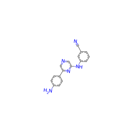 N#Cc1cccc(Nc2cncc(-c3ccc(N)cc3)n2)c1